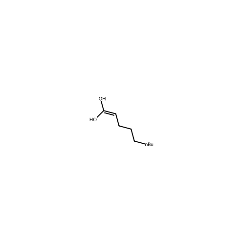 CCCCCCCC=C(O)O